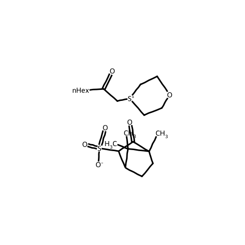 CC12CCC(C(S(=O)(=O)[O-])C1=O)C2(C)C.CCCCCCC(=O)C[S+]1CCOCC1